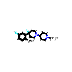 CCOC(=O)N1CCC(N2CCC(F)(c3cc(F)ccc3OC)CC2)CC1